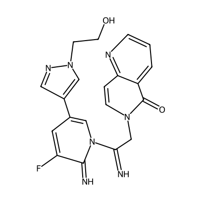 N=C(Cn1ccc2ncccc2c1=O)n1cc(-c2cnn(CCO)c2)cc(F)c1=N